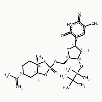 C=C(C)[C@@H]1CC[C@]2(C)SP(=S)(OC[C@H]3O[C@@H](n4cc(C)c(=O)[nH]c4=O)[C@H](F)[C@@H]3O[Si](C)(C)C(C)(C)C)O[C@H]2C1